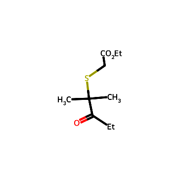 CCOC(=O)CSC(C)(C)C(=O)CC